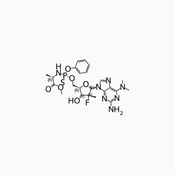 COC(=O)[C@@H](C)NP(=S)(OC[C@H]1O[C@@H](n2cnc3c(N(C)C)nc(N)nc32)[C@](C)(F)[C@@H]1O)Oc1ccccc1